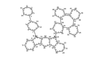 c1ccc(-c2ccc(-n3c4ccccc4c4cc5c6ccccc6n(-c6ccc7c(c6)-c6ccccc6-c6ccccc6-c6ccccc6-7)c5cc43)cc2)cc1